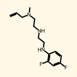 C=CCN(C)CCNCCNc1ccc(F)cc1F